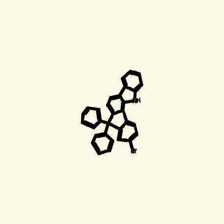 Brc1ccc2c(c1)C(c1ccccc1)(c1ccccc1)c1ccc3c([nH]c4ccccc43)c1-2